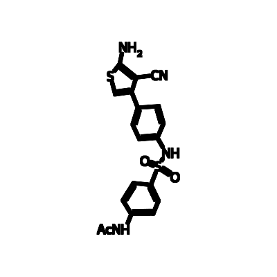 CC(=O)Nc1ccc(S(=O)(=O)Nc2ccc(-c3csc(N)c3C#N)cc2)cc1